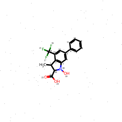 CC1c2c(cc(-c3ccccc3)cc2C(F)(F)F)N(O)C1C(=O)O